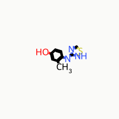 Cc1cc(O)ccc1N=c1ncs[nH]1